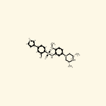 COc1ccc(N2C[C@@H](C)N[C@@H](C)C2)cc1NS(=O)(=O)c1ccc(-c2ccoc2)cc1F